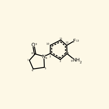 Nc1cc(N2CCCC2=O)ccc1F